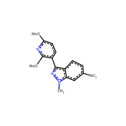 COc1ccc(-c2nn(C)c3cc([N+](=O)[O-])ccc23)c(OC)n1